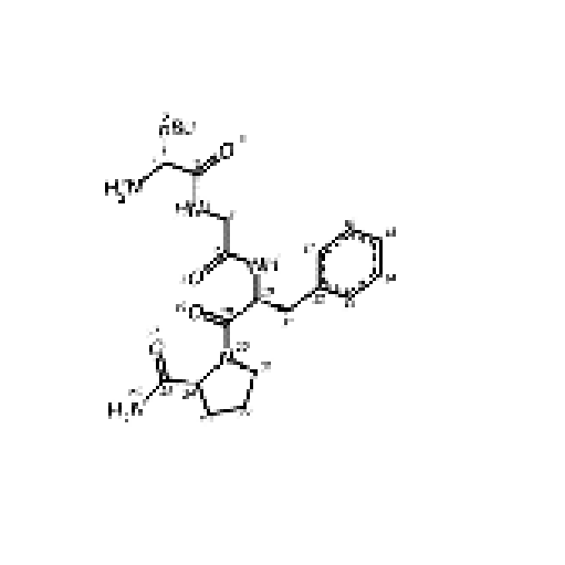 CCCC[C@@H](N)C(=O)NCC(=O)N[C@@H](Cc1ccccc1)C(=O)N1CCC[C@H]1C(N)=O